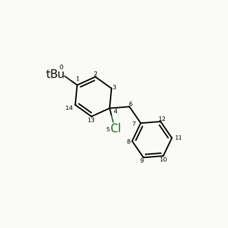 CC(C)(C)C1=CCC(Cl)(Cc2ccccc2)C=C1